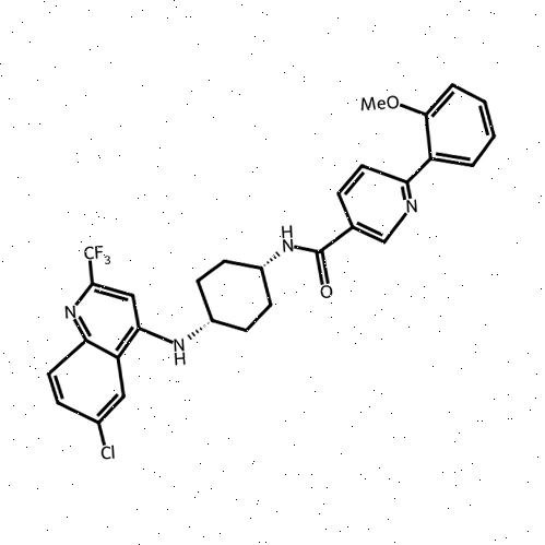 COc1ccccc1-c1ccc(C(=O)N[C@H]2CC[C@@H](Nc3cc(C(F)(F)F)nc4ccc(Cl)cc34)CC2)cn1